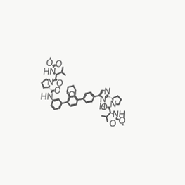 COC(=O)N[C@H](C(=O)N1CCC[C@H]1C(=O)Nc1cccc(-c2ccc(-c3ccc(-c4cnc([C@@H]5CCCN5C(=O)[C@@H](NC(=O)OC)C(C)C)[nH]4)cc3)c3c2C2CCC3O2)c1)C(C)C